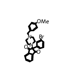 COc1ccc(CN2CCN(C3(c4cccc(Br)c4)C(=O)c4ccccc4C3=O)CC2)cc1